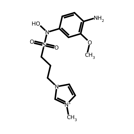 COc1cc(N(O)S(=O)(=O)CCCn2cc[n+](C)c2)ccc1N